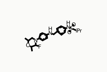 CC1CN(c2ccc(NCc3ccc(NS(=O)(=O)C(C)C)cc3)cc2)C(F)C(C)O1